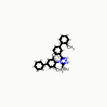 CCCCc1nnc(-c2cccc(-c3ccccc3C)c2)n1-c1c(C)cc(-c2ccccc2)cc1C